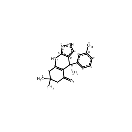 CC1(C)CC(=O)C2=C(C1)Nc1n[nH]cc1[C@@]2(C)c1cccc(C(F)(F)F)c1